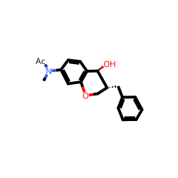 CC(=O)N(C)c1ccc2c(c1)OC[C@@H](Cc1ccccc1)[C@@H]2O